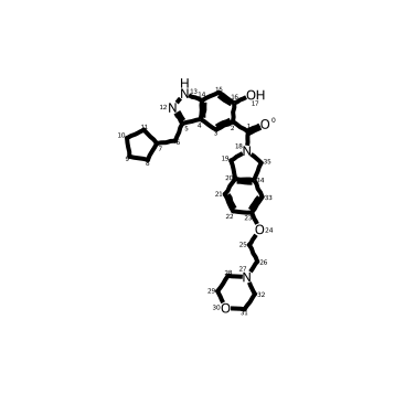 O=C(c1cc2c(CC3CCCC3)n[nH]c2cc1O)N1Cc2ccc(OCCN3CCOCC3)cc2C1